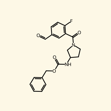 O=Cc1ccc(F)c(C(=O)N2CCC(NC(=O)OCc3ccccc3)C2)c1